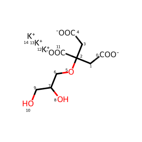 O=C([O-])CC(CC(=O)[O-])(OCC(O)CO)C(=O)[O-].[K+].[K+].[K+]